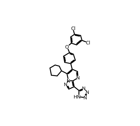 Clc1cc(Cl)cc(Oc2ccc(-c3cnc4c(-c5nnn[nH]5)cnn4c3C3CCCCC3)cc2)c1